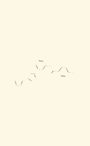 O=C(Nc1cccc(-c2nnc(-c3ccco3)o2)c1)c1ccc(Cl)cc1